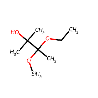 CCOC(C)(O[SiH3])C(C)(C)O